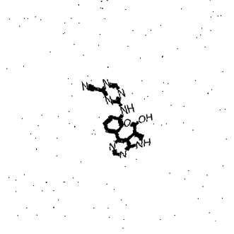 N#Cc1ncnc(Nc2cccc(-c3ncnc4[nH]cc(C(=O)O)c34)c2)n1